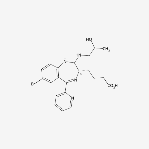 CC(O)CNC1Nc2ccc(Br)cc2C(c2ccccn2)=N[C@H]1CCCC(=O)O